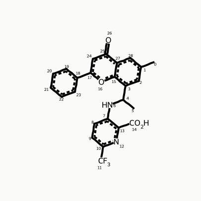 Cc1cc(C(C)Nc2ccc(C(F)(F)F)nc2C(=O)O)c2oc(-c3ccccc3)cc(=O)c2c1